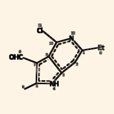 CCc1cc2[nH]c(C)c(C=O)c2c(Cl)n1